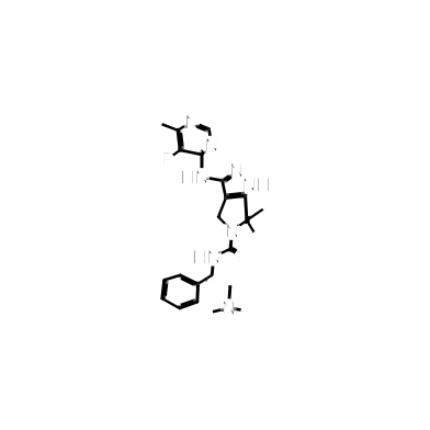 Cc1ncnc(Nc2n[nH]c3c2CN(C(=O)N[C@H](CN(C)C)c2ccccc2)C3(C)C)c1F